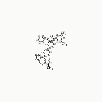 Cn1ccc2c1CCn1ccnc1C2=C1CCN([C@H]2CCN(C(=O)c3cc(C(F)(F)F)cc(C(F)(F)F)c3)[C@H](Cc3ccccc3)C2)CC1